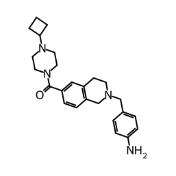 Nc1ccc(CN2CCc3cc(C(=O)N4CCN(C5CCC5)CC4)ccc3C2)cc1